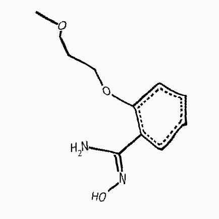 COCCOc1ccccc1/C(N)=N/O